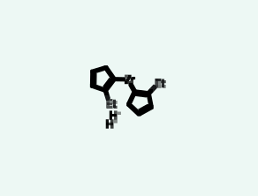 CCC1=[C]([Zr][C]2=C(CC)C=CC2)CC=C1.[H-].[H-]